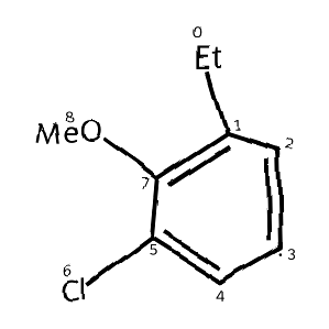 CCc1c[c]cc(Cl)c1OC